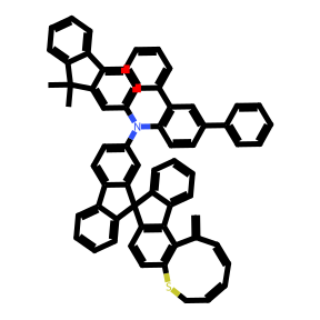 C=C1/C=C\C=C/CSc2ccc3c(c21)-c1ccccc1C31c2ccccc2-c2ccc(N(c3ccc4c(c3)C(C)(C)c3ccccc3-4)c3ccc(-c4ccccc4)cc3-c3ccccc3)cc21